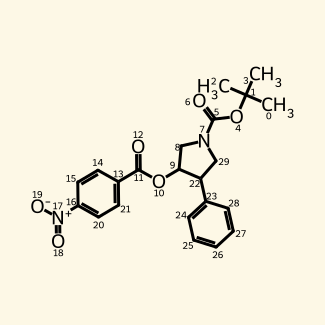 CC(C)(C)OC(=O)N1CC(OC(=O)c2ccc([N+](=O)[O-])cc2)C(c2ccccc2)C1